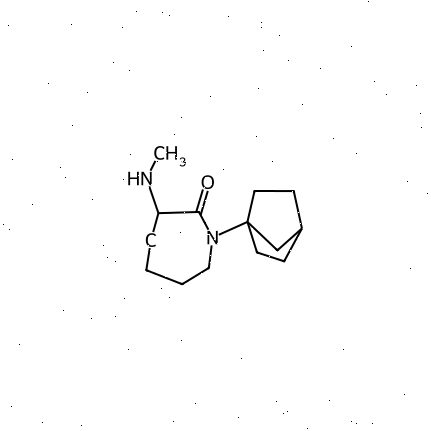 CNC1CCCCN(C23CCC(CC2)C3)C1=O